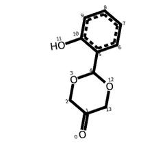 O=C1COC(c2ccccc2O)OC1